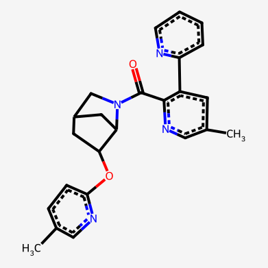 Cc1ccc(OC2CC3CC2N(C(=O)c2ncc(C)cc2-c2ccccn2)C3)nc1